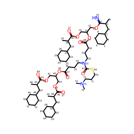 CC(CC1CCCCC1)C(=N)OCC(COC(=O)C(C)CC1CCCCC1)OC(=O)CCCN(CCCC(=O)OC(COC(=O)C(C)CC1CCCCC1)COC(=O)C(C)CC1CCCCC1)C(=O)SCCCN(C)C